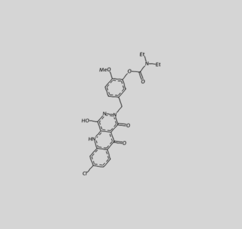 CCN(CC)C(=O)Oc1cc(Cn2nc(O)c3[nH]c4cc(Cl)ccc4c(=O)c3c2=O)ccc1OC